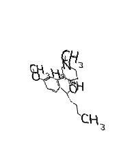 CCCCC1O[C@H]2CCN(C)C[C@@H]2c2cc(OC)ccc21